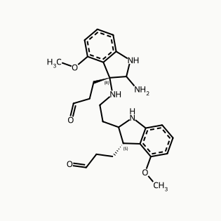 COc1cccc2c1[C@H](CCC=O)C(CCN[C@]1(CCC=O)c3c(cccc3OC)NC1N)N2